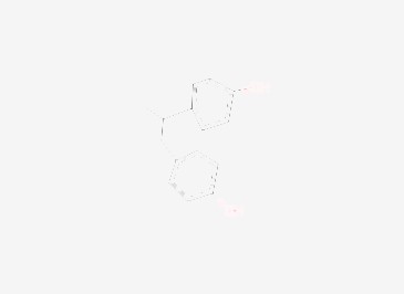 CCC(Cc1ccc(O)cc1)c1ccc(O)cc1